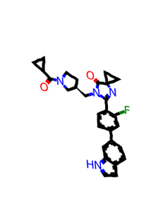 O=C(C1CC1)N1CC[C@@H](CN2C(=O)C3(CC3)N=C2c2ccc(-c3ccc4cc[nH]c4c3)cc2F)C1